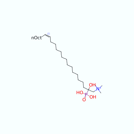 CCCCCCCC/C=C\CCCCCCCCCCCCCC(O)(C[N+](C)(C)C)P(=O)(O)O